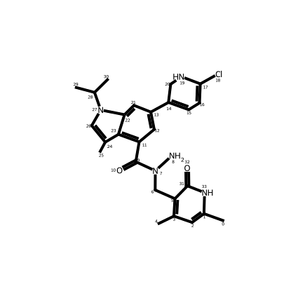 Cc1cc(C)c(CN(N)C(=O)c2cc(C3=CC=C(Cl)NC3)cc3c2c(C)cn3C(C)C)c(=O)[nH]1